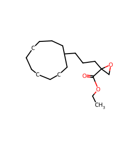 CCOC(=O)C1(CCCC2CCCCCCCCCC2)CO1